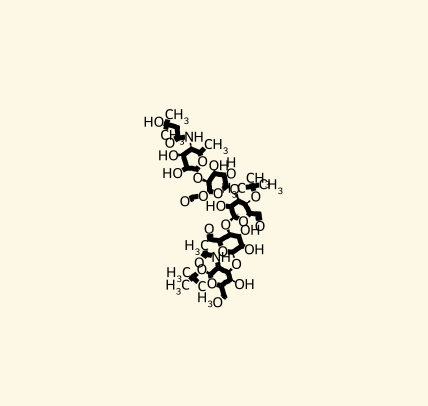 CC(=O)NC1[C@H](OC(C)(C)C)OC(C=O)[C@@H](O)[C@@H]1O[C@@H]1OC(C=O)[C@@H](O[C@@H]2OC(C=O)[C@@H](OC(C)(C)C)[C@H](O[C@@H]3OC(OC=O)[C@@H](O[C@H]4OC(C)[C@@H](NC(=O)CC(C)(C)O)[C@H](O)C4O)[C@H](O)C3O)C2O)[C@H](O)C1O